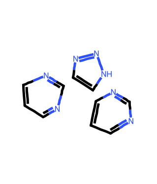 c1c[nH]nn1.c1cncnc1.c1cncnc1